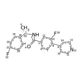 C[C@H](NC(=O)c1ccc(-c2ccncc2)c(F)c1)c1ccc(F)cc1